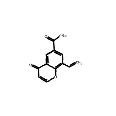 C=Cc1cc(C(=O)OC)cc2c(=O)ccoc12